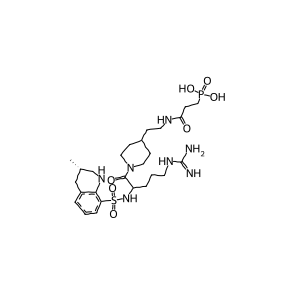 C[C@@H]1CNc2c(cccc2S(=O)(=O)NC(CCCNC(=N)N)C(=O)N2CCC(CCNC(=O)CCP(=O)(O)O)CC2)C1